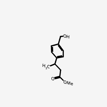 COC(=O)CC(C)c1ccc(CO)cc1